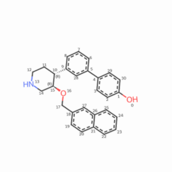 Oc1ccc(-c2cccc([C@H]3CCNC[C@@H]3OCc3ccc4ccccc4c3)c2)cc1